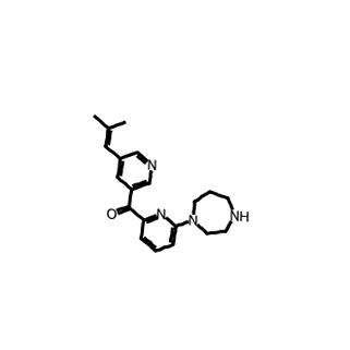 CC(C)=Cc1cncc(C(=O)c2cccc(N3CCCNCC3)n2)c1